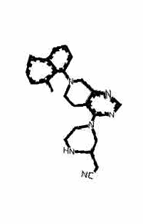 Cc1cccc2cccc(N3CCc4c(ncnc4N4CCNC(CC#N)C4)C3)c12